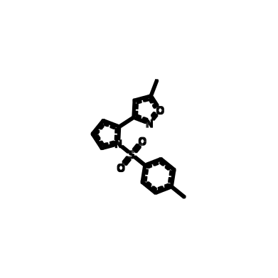 Cc1ccc(S(=O)(=O)n2cccc2-c2cc(C)on2)cc1